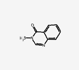 Bn1cnc2ccccc2c1=O